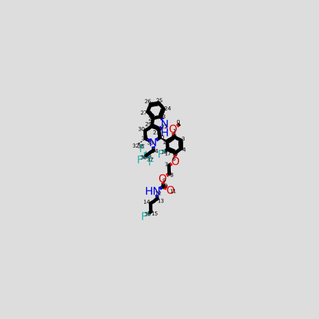 COc1ccc(OCCOC(=O)NCCCF)c(F)c1[C@@H]1c2[nH]c3ccccc3c2C[C@@H](C)N1CC(F)(F)F